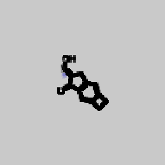 O=C1/C(=N/O)Cc2cc3c(cc21)CC3